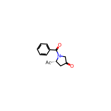 CC(=O)[C@H]1CC(=O)CN1C(=O)c1ccccc1